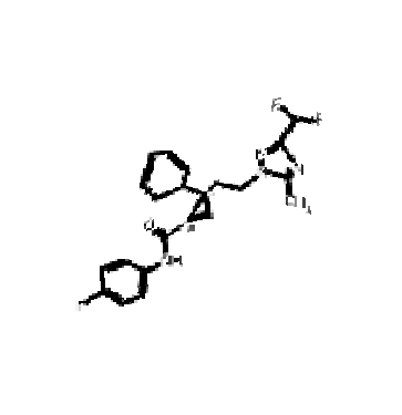 Cc1nc(C(F)F)nn1CC[C@@]1(C2C=CC=CC2)C[C@H]1C(=O)Nc1ccc(F)cc1